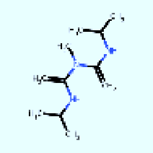 C=C(NC(C)C)N(C)C(=C)NC(C)C